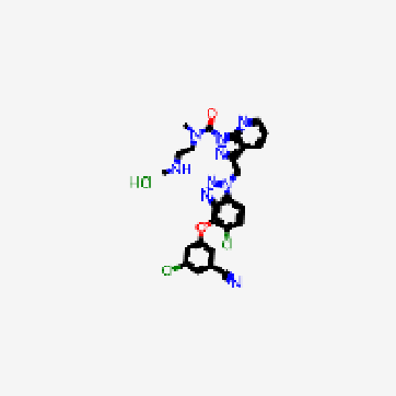 CNCCN(C)C(=O)n1nc(Cn2nnc3c(Oc4cc(Cl)cc(C#N)c4)c(Cl)ccc32)c2cccnc21.Cl